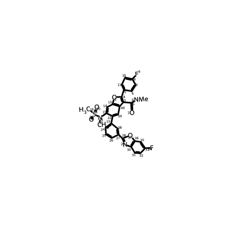 CNC(=O)c1c(-c2ccc(F)cc2)oc2cc(N(C)S(C)(=O)=O)c(-c3cccc(-c4nc5ccc(F)cc5o4)c3)cc12